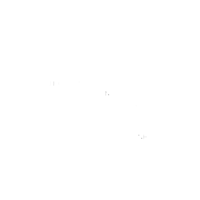 CC(=O)CN(C)C1CCNCC1